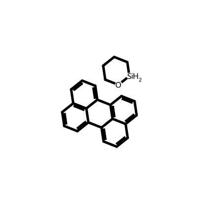 C1CC[SiH2]OC1.c1cc2cccc3c4cccc5cccc(c(c1)c23)c54